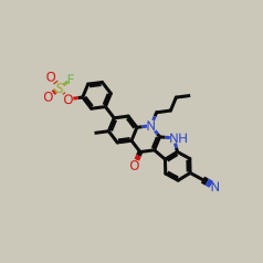 CCCCn1c2cc(-c3cccc(OS(=O)(=O)F)c3)c(C)cc2c(=O)c2c3ccc(C#N)cc3[nH]c21